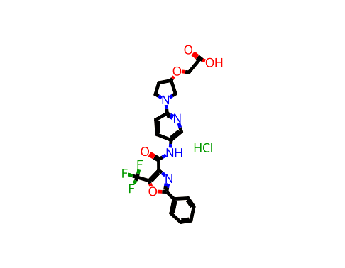 Cl.O=C(O)COC1CCN(c2ccc(NC(=O)c3nc(-c4ccccc4)oc3C(F)(F)F)cn2)C1